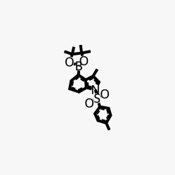 Cc1ccc(S(=O)(=O)n2cc(C)c3c(B4OC(C)(C)C(C)(C)O4)cccc32)cc1